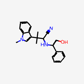 Cn1cc(C(C)(C)C(C#N)NC(CO)c2ccccc2)c2ccccc21